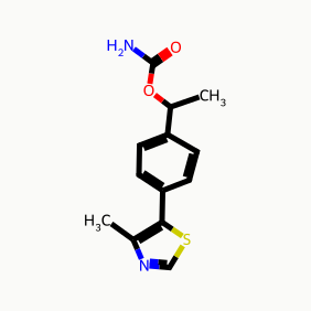 Cc1ncsc1-c1ccc(C(C)OC(N)=O)cc1